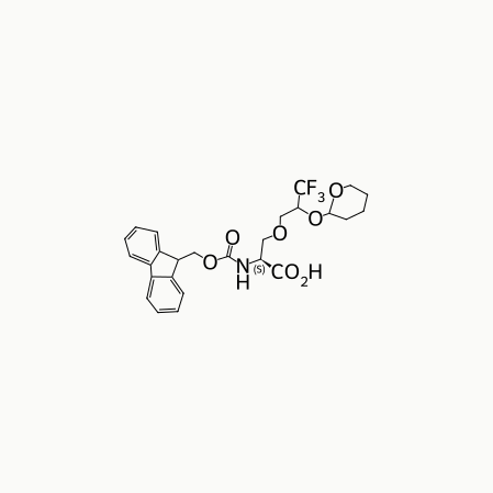 O=C(N[C@@H](COCC(OC1CCCCO1)C(F)(F)F)C(=O)O)OCC1c2ccccc2-c2ccccc21